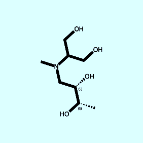 C[C@H](O)[C@@H](O)CN(C)C(CO)CO